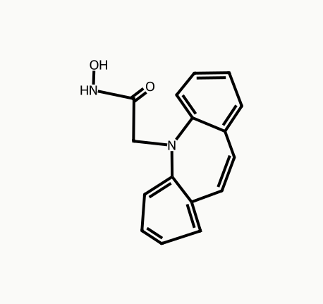 O=C(CN1c2ccccc2C=Cc2ccccc21)NO